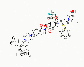 C=C(C)CCC1=C(CN2CCN(c3ccc(C(=O)NS(=O)(=O)c4ccc(N[C@H](CCN(C)CCO)CSc5ccccc5)c(S(=O)(=O)C(F)(F)F)c4)cc3)CC2)CCC(C)(C)C1